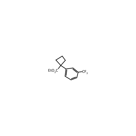 CCOC(=O)C1(c2cccc(C(F)(F)F)c2)CCC1